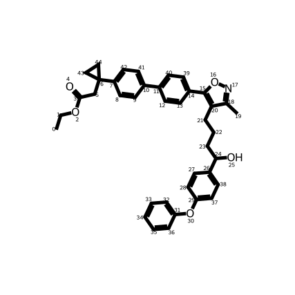 CCOC(=O)CC1(c2ccc(-c3ccc(-c4onc(C)c4CCCC(O)c4ccc(Oc5ccccc5)cc4)cc3)cc2)CC1